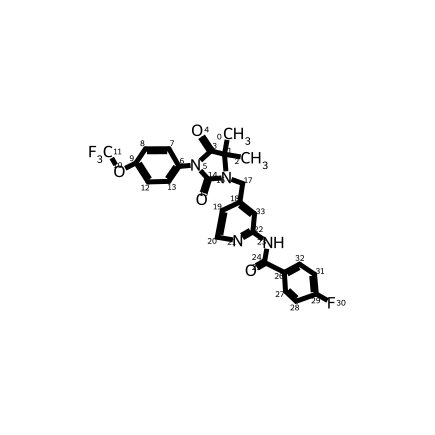 CC1(C)C(=O)N(c2ccc(OC(F)(F)F)cc2)C(=O)N1Cc1ccnc(NC(=O)c2ccc(F)cc2)c1